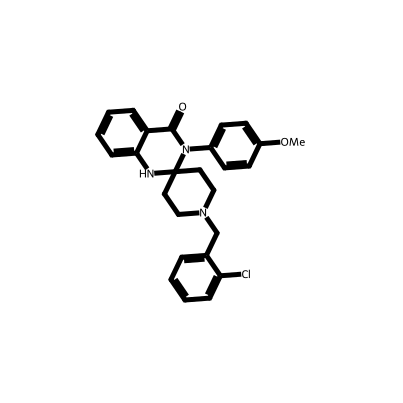 COc1ccc(N2C(=O)c3ccccc3NC23CCN(Cc2ccccc2Cl)CC3)cc1